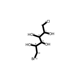 OC(CCl)C(O)C(O)C(O)CBr